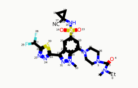 CCN(C)C(=O)N1CCN(c2cc(S(=O)(=O)NC3(C#N)CC3)cc3c(-c4nnc(C(F)F)s4)nn(C)c23)CC1